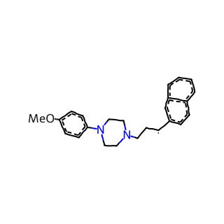 COc1ccc(N2CCN(CC[CH]c3ccc4ccccc4c3)CC2)cc1